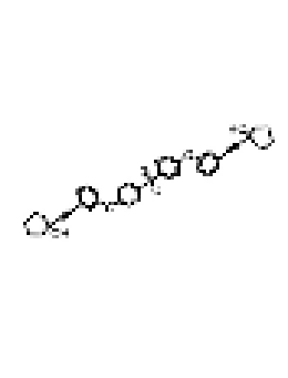 O=S(=O)(c1ccc(Oc2cccc(C#CC3(O)CCCCC3)c2)cc1)c1ccc(Oc2cccc(C#CC3(O)CCCCC3)c2)cc1